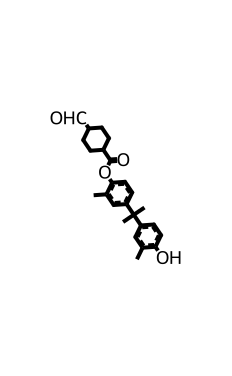 Cc1cc(C(C)(C)c2ccc(OC(=O)C3CCC(C=O)CC3)c(C)c2)ccc1O